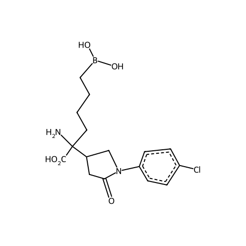 NC(CCCCB(O)O)(C(=O)O)C1CC(=O)N(c2ccc(Cl)cc2)C1